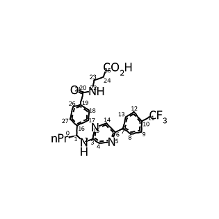 CCC[C@H](Nc1cnc(-c2ccc(C(F)(F)F)cc2)cn1)c1ccc(C(=O)NCCC(=O)O)cc1